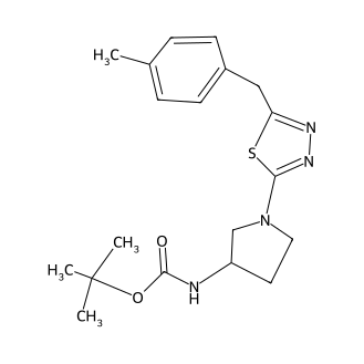 Cc1ccc(Cc2nnc(N3CCC(NC(=O)OC(C)(C)C)C3)s2)cc1